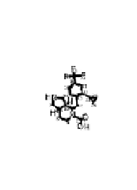 O=C(O)N1CC[C@@H]2CNC[C@H]2C1Cc1ccc(C(F)(F)F)cc1C1CC1